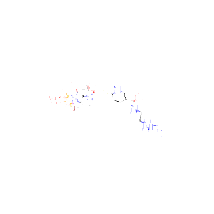 NCCNC(=O)c1ccc(SCC(=O)N2CC[C@@H]3[C@H]2C(=O)N3S(=O)(=O)O)nc1